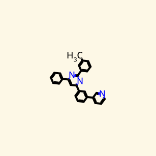 Cc1cccc(-c2nc(-c3ccccc3)cc(-c3cccc(-c4cccnc4)c3)n2)c1